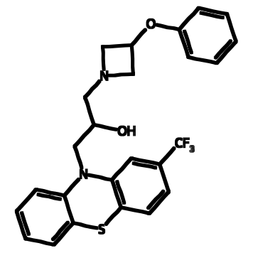 OC(CN1CC(Oc2ccccc2)C1)CN1c2ccccc2Sc2ccc(C(F)(F)F)cc21